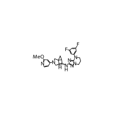 COc1cc(N2C[C@H]3[C@H](Nc4nc5n(n4)CCCN5c4cc(F)cc(F)c4)C4CC43C2)ccn1